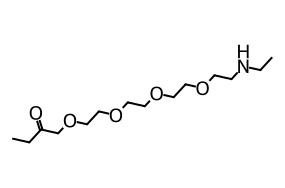 CCNCCOCCOCCOCCOCC(=O)CC